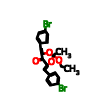 CCOC1(C)O/C(=C\c2ccc(Br)cc2)C(=O)/C(=C/c2ccc(Br)cc2)O1